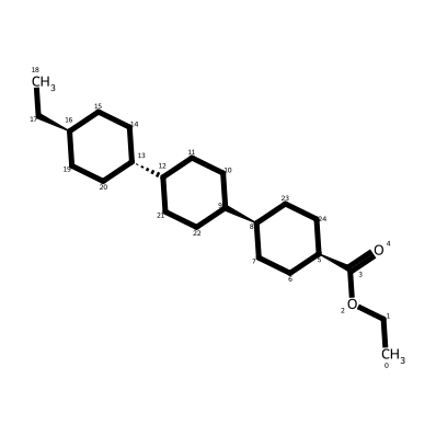 CCOC(=O)[C@H]1CC[C@@H](C2CCC([C@H]3CC[C@H](CC)CC3)CC2)CC1